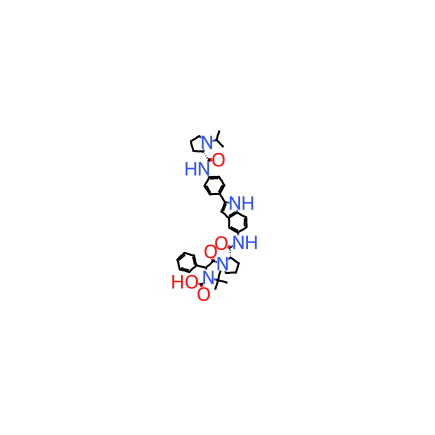 CC(C)N1CCC[C@H]1C(=O)Nc1ccc(-c2cc3cc(NC(=O)[C@@H]4CCCN4C(=O)[C@@H](c4ccccc4)N(C(=O)O)C(C)(C)C)ccc3[nH]2)cc1